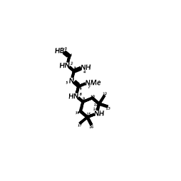 B=CNC(=N)/N=C(\NC)NC1CC(C)(C)NC(C)(C)C1